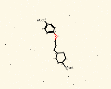 CCCCCCCCc1ccc(OCCCC2CCC(CCCCC)CC2)cc1